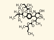 CCCC(C)OC(=O)OC(C)C(C)C(c1ccc(OC(=O)C(C)(C)CC)c(OC(=O)C(C)(C)CC)c1)[C@H](N)C(=O)O